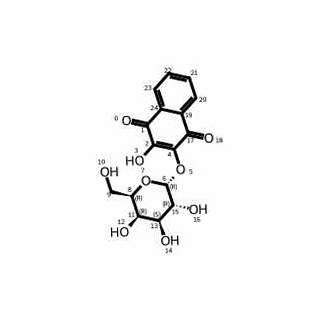 O=C1C(O)=C(O[C@H]2O[C@H](CO)[C@H](O)[C@H](O)[C@H]2O)C(=O)c2ccccc21